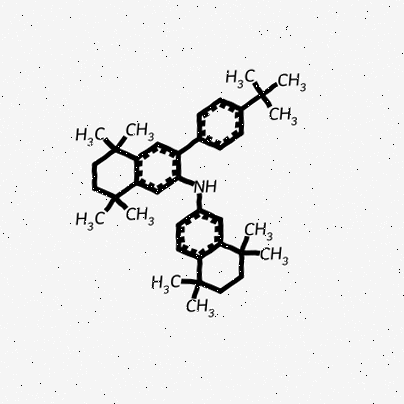 CC(C)(C)c1ccc(-c2cc3c(cc2Nc2ccc4c(c2)C(C)(C)CCC4(C)C)C(C)(C)CCC3(C)C)cc1